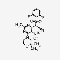 Cc1nc(C(C#N)S(=O)(=O)c2c(F)cccc2F)c([N+](=O)[O-])c(N2CCOC(C)(C)C2)n1